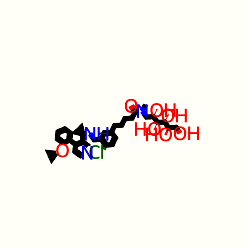 CN(C[C@H](O)[C@@H](O)[C@H](O)[C@H](O)CO)C(=O)CCCCc1ccc(Cl)c(CNC2(c3cnccc3-c3ccccc3OC3CC3)CC2)c1